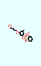 COc1ccccc1S(=O)(=O)Oc1cc(C)cc(OCCCC=O)c1